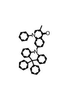 Cc1cn(-c2ccccc2)c2cc(N3c4ccccc4C(c4ccccc4)(c4ccccc4)c4ccccc43)ccc2c1=O